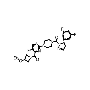 CCOC1CN(C(=O)c2nc(N3CCN(C(=O)N4N=CC[C@H]4c4cc(F)cc(F)c4)CC3)ncc2F)C1